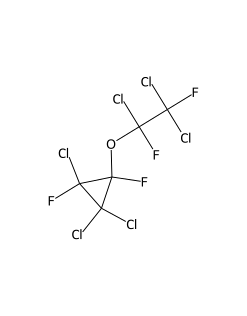 FC(Cl)(Cl)C(F)(Cl)OC1(F)C(F)(Cl)C1(Cl)Cl